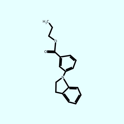 CCCOC(=O)c1cccc(N2CCc3ccccc32)c1